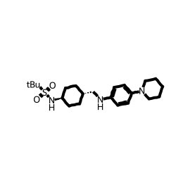 CC(C)(C)S(=O)(=O)N[C@H]1CC[C@H](CNc2ccc(N3CCCCC3)cc2)CC1